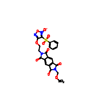 O=c1c2cc3c(=O)n(CO[N+](=O)[O-])c(=O)c3cc2c(=O)n1CCOc1no[n+]([O-])c1S(=O)(=O)c1ccccc1